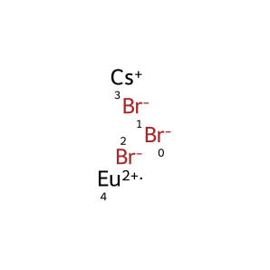 [Br-].[Br-].[Br-].[Cs+].[Eu+2]